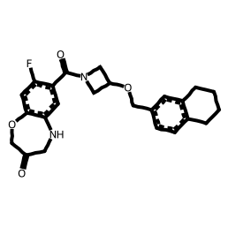 O=C1CNc2cc(C(=O)N3CC(OCc4ccc5c(c4)CCCC5)C3)c(F)cc2OC1